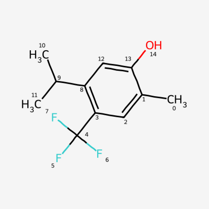 Cc1cc(C(F)(F)F)c(C(C)C)cc1O